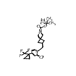 CC(C)(C)OC(=O)N1CC2(CC(Cn3ccc(C4(C(F)(F)F)CC4)cc3=O)C2)C1